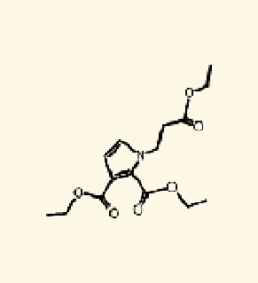 CCOC(=O)CCn1ccc(C(=O)OCC)c1C(=O)OCC